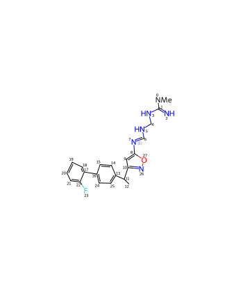 CNC(=N)NCN/C=N/c1cc(C(C)c2ccc(-c3ccccc3F)cc2)no1